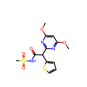 COc1cc(OC)nc(C(C(=O)NS(C)(=O)=O)c2cccs2)n1